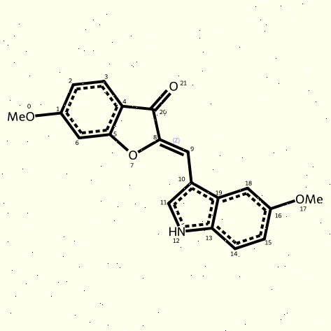 COc1ccc2c(c1)O/C(=C\c1c[nH]c3ccc(OC)cc13)C2=O